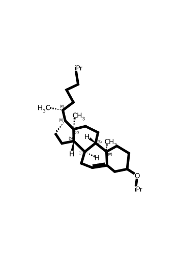 CC(C)CCC[C@@H](C)[C@H]1CC[C@H]2[C@@H]3CC=C4CC(OC(C)C)CC[C@]4(C)[C@H]3CC[C@]12C